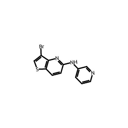 Brc1csc2ccc(Nc3cccnc3)nc12